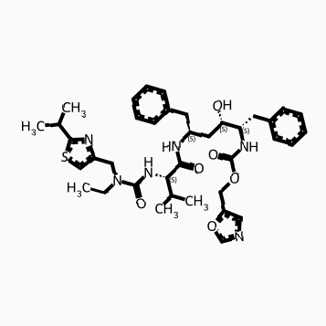 CCN(Cc1csc(C(C)C)n1)C(=O)N[C@H](C(=O)N[C@@H](Cc1ccccc1)C[C@H](O)[C@H](Cc1ccccc1)NC(=O)OCc1cnco1)C(C)C